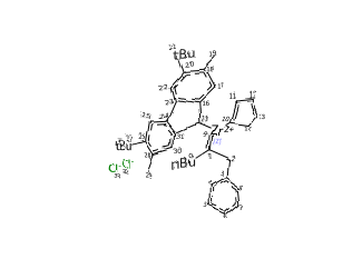 CCCC/[C](Cc1ccccc1)=[Zr+2](/[C]1=CC=CC1)[CH]1c2cc(C)c(C(C)(C)C)cc2-c2cc(C(C)(C)C)c(C)cc21.[Cl-].[Cl-]